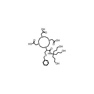 O=C(O)CN1CCN(CC(=O)O)CCN(C(COCc2ccccc2)C(=O)NC(CCCO)(CCCO)CCCO)CCN(CC(=O)O)CC1